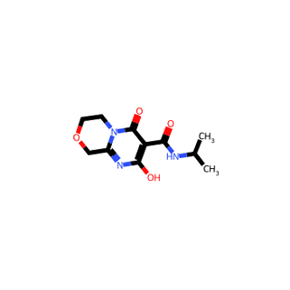 CC(C)NC(=O)c1c(O)nc2n(c1=O)CCOC2